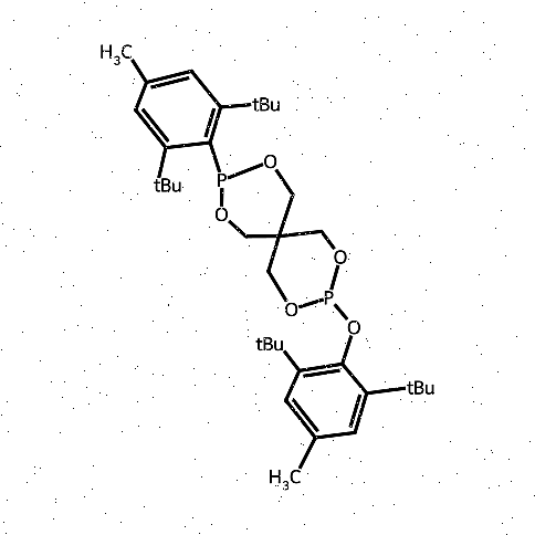 Cc1cc(C(C)(C)C)c(OP2OCC3(CO2)COP(c2c(C(C)(C)C)cc(C)cc2C(C)(C)C)OC3)c(C(C)(C)C)c1